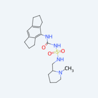 CN1CCCCC1CNS(=O)(=O)NC(=O)Nc1c2c(cc3c1CCC3)CCC2